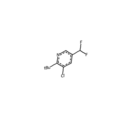 CC(C)(C)c1ncc(C(F)F)cc1Cl